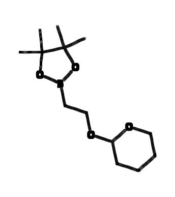 CC1(C)OB(CCOC2CCCCO2)OC1(C)C